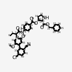 CCC(C(=O)Nc1ccc(C(=O)O[C@H]2CCN[C@@H]2C(=O)OCc2ccccc2)cc1)n1cc(OC)c(-c2cc(Cl)ccc2C#N)cc1=O